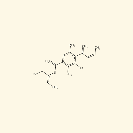 C=C(S/C(=C\C)CC(C)C)c1cc(N)c(C(=C)/C=C\C)c(CC)c1C